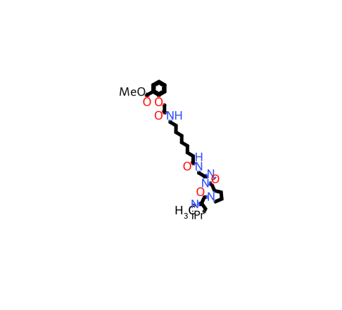 C/N=C(\CC(C)C)C(=O)N1CCCC1c1nc(CNC(=O)CCCCCCCCNC(=O)COc2ccccc2C(=O)OC)no1